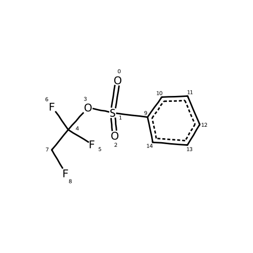 O=S(=O)(OC(F)(F)CF)c1ccccc1